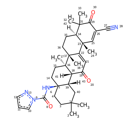 CC1(C)CC[C@]2(NC(=O)n3cccn3)CC[C@]3(C)[C@H](C(=O)C=C4[C@@]5(C)C=C(C#N)C(=O)C(C)(C)[C@@H]5CC[C@]43C)[C@@H]2C1